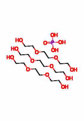 O=P(O)(O)O.OCCOCCOCCO.OCCOCCOCCO.OCCOCCOCCO